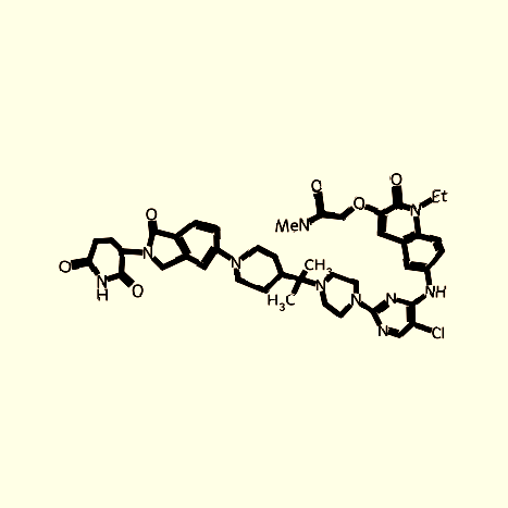 CCn1c(=O)c(OCC(=O)NC)cc2cc(Nc3nc(N4CCN(C(C)(C)C5CCN(c6ccc7c(c6)CN(C6CCC(=O)NC6=O)C7=O)CC5)CC4)ncc3Cl)ccc21